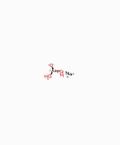 [Na+].[O-][As](O)O